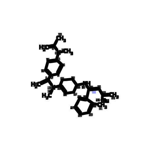 C=C(c1ccc(N(C)C(=C)C)cc1)N(C)C1=CCC(N/C(=C/C(=C)C(C)(C)C)c2ccccc2C)CC1